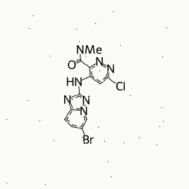 CNC(=O)c1nnc(Cl)cc1Nc1nc2ccc(Br)cn2n1